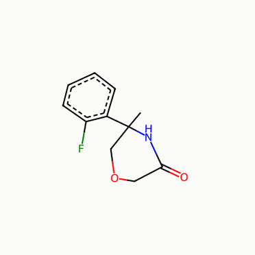 CC1(c2ccccc2F)COCC(=O)N1